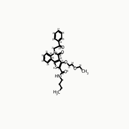 CCCCNC(=O)c1sc2c(c1OCCOCC)c(=O)n(CC(=O)c1ccccc1)c1ccccc21